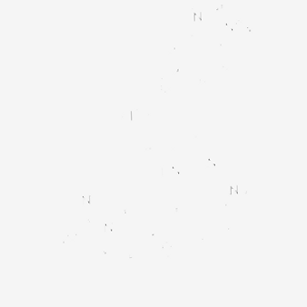 CN(C)C(=O)N1CCC(Oc2ccc3ncnc(Nc4ccc(OC5=CC6N=CN(C)C6C=C5)c(Cl)c4)c3c2)CC1